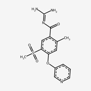 Cc1cc(Oc2cccnc2)c(S(C)(=O)=O)cc1C(=O)N=C(N)N